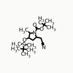 CC1C(O[Si](C)(C)C(C)(C)C)CC(CC#N)N1C(=O)OC(C)(C)C